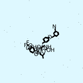 CC(C)CN(C[C@H](O)[C@H](Cc1ccc(OCc2cccc(C#N)c2)cc1)NC(=O)O)S(=O)(=O)c1ccc2c(c1)OC(F)(F)O2